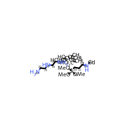 CC(=O)O.CC(=O)O.CC(=O)O.CC(=O)O.CO[Si](CCC[NH][Gd])(OC)OC.NCCNCCN